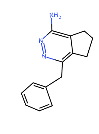 Nc1nnc(Cc2ccccc2)c2c1CCC2